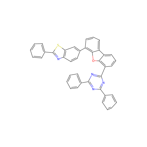 c1ccc(-c2nc(-c3ccccc3)nc(-c3cccc4c3oc3c(-c5ccc6nc(-c7ccccc7)sc6c5)cccc34)n2)cc1